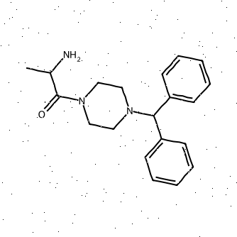 C[C](N)C(=O)N1CCN(C(c2ccccc2)c2ccccc2)CC1